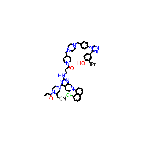 C=CC(=O)N1CCN(c2nc(NCCC(=O)N3CCC(CN4CCN(Cc5ccc(-n6cnnc6-c6ccc(O)c(C(C)C)c6)cc5)CC4)CC3)nc3c2CCN(c2cccc4cccc(Cl)c24)C3)CC1CC#N